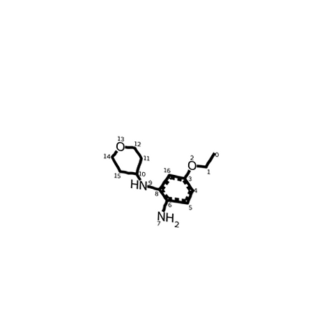 CCOc1ccc(N)c(NC2CCOCC2)c1